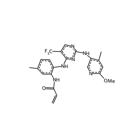 C=CC(=O)Nc1cc(C)ccc1Nc1nc(Nc2cnc(OC)cc2C)ncc1C(F)(F)F